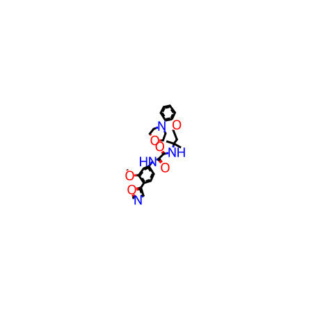 COc1cc(NC(=O)C(=O)NC(C)(C)CCOc2ccccc2N2CCOCC2)ccc1-c1cnco1